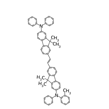 Cc1ccccc1N(c1ccccc1)c1ccc2c(c1)C(C)(C)c1cc(/C=C/c3ccc4c(c3)C(C)(C)c3cc(N(c5ccccc5)c5ccccc5)ccc3-4)ccc1-2